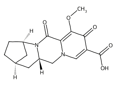 COc1c2n(cc(C(=O)O)c1=O)C[C@@H]1C[C@H]3CC[C@H](C3)N1C2=O